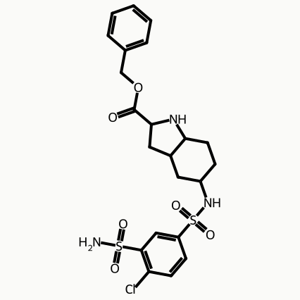 NS(=O)(=O)c1cc(S(=O)(=O)NC2CCC3NC(C(=O)OCc4ccccc4)CC3C2)ccc1Cl